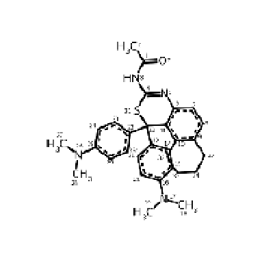 CC(=O)NC1=Nc2ccc3c(c2C(c2ccc(N(C)C)cc2)(c2ccc(N(C)C)cc2)S1)CCCC3